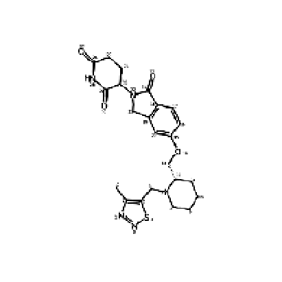 Cc1nnsc1CN1CCCC[C@H]1COc1ccc2c(c1)CN(C1CCC(=O)NC1=O)C2=O